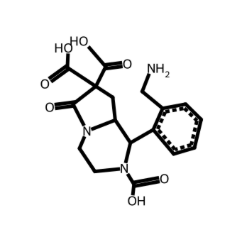 NCc1ccccc1C1C2CC(C(=O)O)(C(=O)O)C(=O)N2CCN1C(=O)O